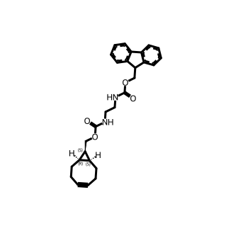 O=C(NCCNC(=O)OC[C@@H]1[C@@H]2CCC#CCC[C@@H]21)OCC1c2ccccc2-c2ccccc21